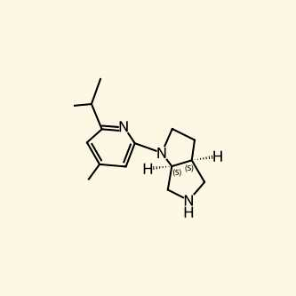 Cc1cc(C(C)C)nc(N2CC[C@H]3CNC[C@H]32)c1